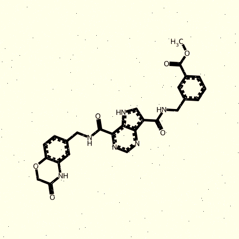 COC(=O)c1cccc(CNC(=O)c2c[nH]c3c(C(=O)NCc4ccc5c(c4)NC(=O)CO5)ncnc23)c1